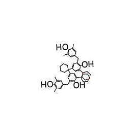 Cc1cc(Cc2cc(C3(c4cc(Cc5cc(C)c(O)c(C)c5)c(O)c(C5CCCCC5)c4)CCCCC3)cc(C3CCCCC3)c2O)cc(C)c1O